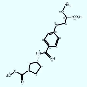 CC(C)(C)OC(=O)N1CC[C@@H](NC(=N)c2ccc(OC[C@H](ON)C(=O)O)cc2)C1